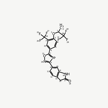 CC(Oc1ccc(-c2nc(-c3ccc4c(c3)NC(=O)C4)no2)cc1C(F)(F)F)C(F)(F)F